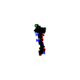 COc1cc(C(=O)NC2CCN(c3ccc4c(c3)CN(C3CCC(=O)NC3=O)C4=O)CC2)ccc1NC(=O)[C@@H]1N[C@@H](CC(C)(C)C)[C@@]2(CNc3cc(Cl)ccc32)[C@H]1c1cccc(Cl)c1F